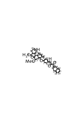 COc1cc2c(Oc3ccc(NC(=O)C(=O)N4CCc5ccccc5C4)cc3F)ccnc2cc1OC(C)C1CCNCC1